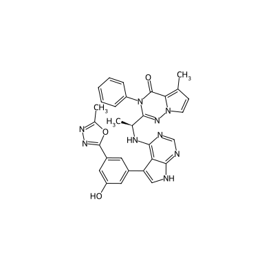 Cc1nnc(-c2cc(O)cc(-c3c[nH]c4ncnc(N[C@@H](C)c5nn6ccc(C)c6c(=O)n5-c5ccccc5)c34)c2)o1